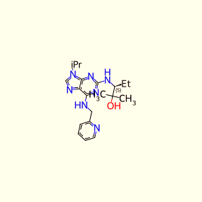 CC[C@H](Nc1nc(NCc2ccccn2)c2ncn(C(C)C)c2n1)C(C)(C)O